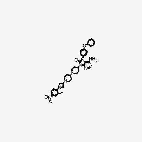 Nc1ncnc2c1n(-c1ccc(Oc3ccccc3)cc1)c(=O)n2C1CCN(C2CCN(C3CN(c4ccc([N+](=O)[O-])cc4F)C3)CC2)CC1